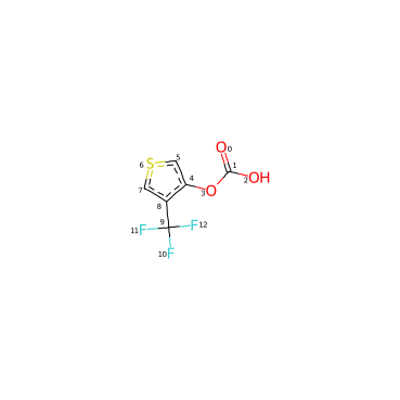 O=C(O)Oc1cscc1C(F)(F)F